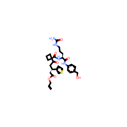 C=CCOC(=O)C[C@H](CC(=O)C1(C(=O)N[C@@H](CCCNC(N)=O)C(=O)Nc2ccc(CO)cc2)CCC1)c1ccsc1